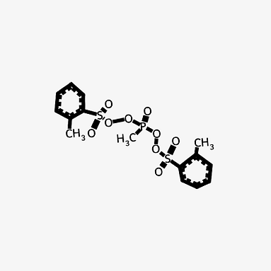 Cc1ccccc1S(=O)(=O)OOP(C)(=O)OOS(=O)(=O)c1ccccc1C